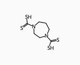 S=C(S)N1CCCN(C(=S)S)CC1